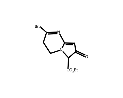 CCOC(=O)C1C(=O)C=C2N=C(C(C)(C)C)CCN21